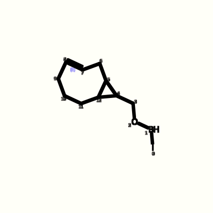 IBOCC1C2C/C=C/CCCC21